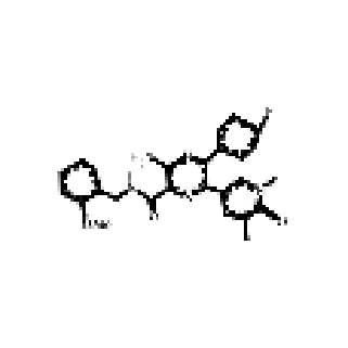 COc1ccccc1CNC(=O)c1nc(-c2cc(C)c(=O)n(C)c2)c(-c2ccc(F)cc2)nc1N